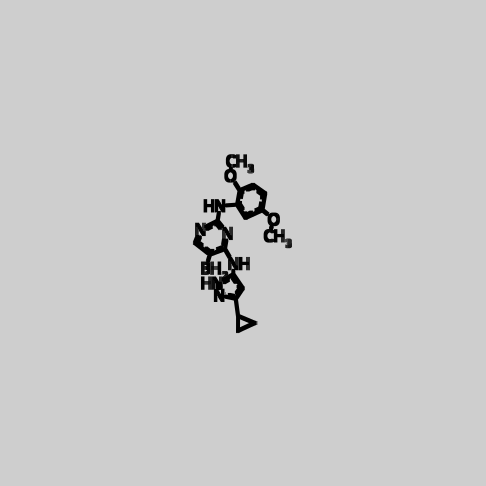 Bc1cnc(Nc2cc(OC)ccc2OC)nc1Nc1cc(C2CC2)n[nH]1